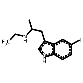 CC(Cc1c[nH]c2ccc(I)cc12)NCC(F)(F)F